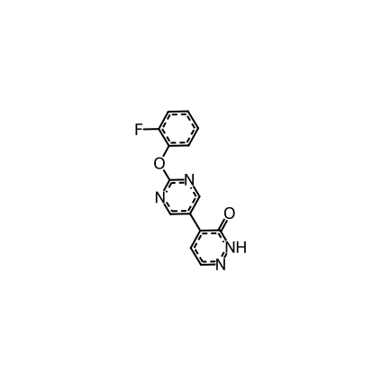 O=c1[nH]nccc1-c1cnc(Oc2ccccc2F)nc1